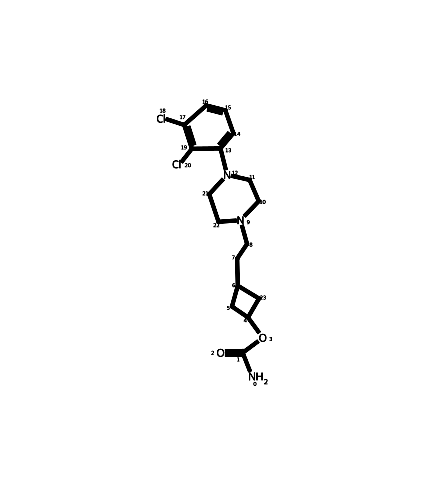 NC(=O)OC1CC(CCN2CCN(c3cccc(Cl)c3Cl)CC2)C1